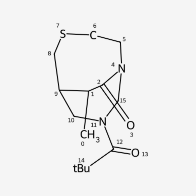 CC1C(=O)N2CCSCC1CN(C(=O)C(C)(C)C)C2